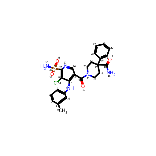 Cc1cccc(Nc2c(C(=O)N3CCC(C(N)=O)(c4ccccc4)CC3)cnc(S(N)(=O)=O)c2Cl)c1